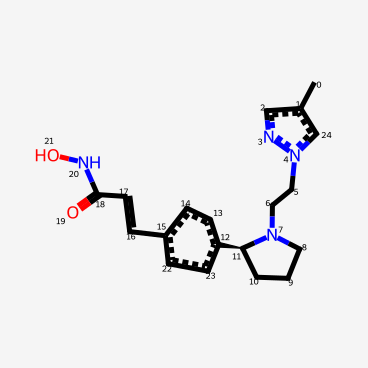 Cc1cnn(CCN2CCC[C@H]2c2ccc(C=CC(=O)NO)cc2)c1